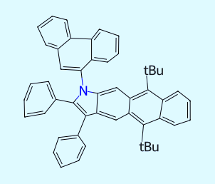 CC(C)(C)c1c2ccccc2c(C(C)(C)C)c2cc3c(cc12)c(-c1ccccc1)c(-c1ccccc1)n3-c1cc2ccccc2c2ccccc12